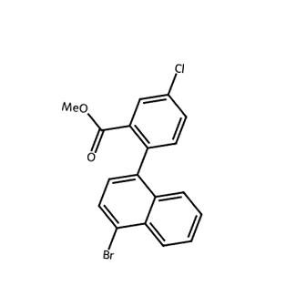 COC(=O)c1cc(Cl)ccc1-c1ccc(Br)c2ccccc12